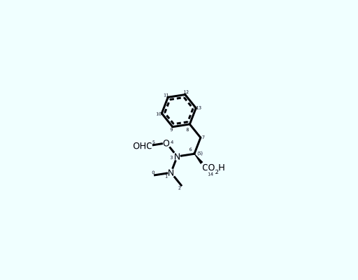 CN(C)N(OC=O)[C@@H](Cc1ccccc1)C(=O)O